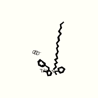 CCCCCCCCCCCCCCCCCC[Si](C)(C1=CC[C]([Ti+3])=C1Cc1ccccc1)c1ccccc1.[Cl-].[Cl-].[Cl-]